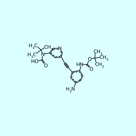 CC(C)(C)OC(=O)Nc1ccc(N)cc1C#Cc1cncc(N(C(=O)O)C(C)(C)C)c1